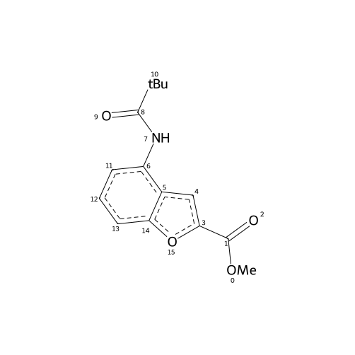 COC(=O)c1cc2c(NC(=O)C(C)(C)C)cccc2o1